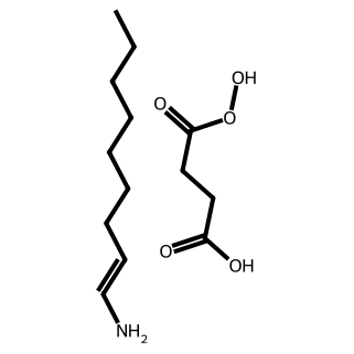 CCCCCCCC=CN.O=C(O)CCC(=O)OO